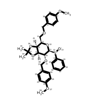 COc1ccc(COC[C@H]2O[C@@H]([S+]([O-])c3ccccc3)[C@H](OCc3ccc(OC)cc3)[C@H]3OC(C)(C)O[C@H]32)cc1